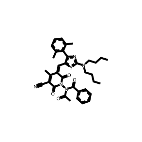 CCCCN(CCCC)c1nc(-c2c(C)cccc2C)c(/C=C2\C(=O)N(N(C(C)=O)C(=O)c3ccccc3)C(=O)C(C#N)=C2C)s1